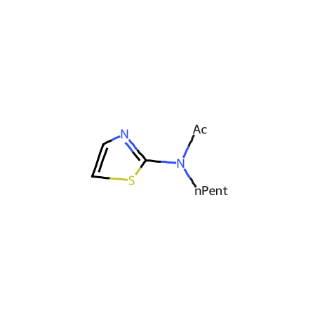 CCCCCN(C(C)=O)c1nccs1